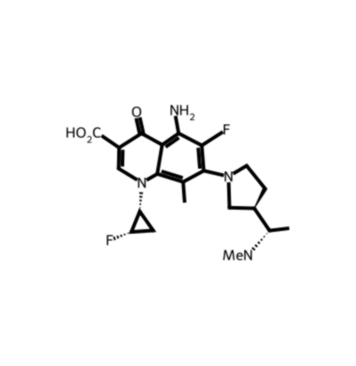 CN[C@@H](C)[C@@H]1CCN(c2c(F)c(N)c3c(=O)c(C(=O)O)cn([C@@H]4C[C@@H]4F)c3c2C)C1